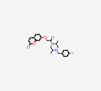 CC1CN(C(=O)COc2ccc3ccc(=O)oc3c2)C(C)CN1Cc1ccc(F)cc1